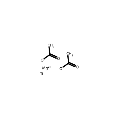 CC(=O)[O-].CC(=O)[O-].[Mg+2].[Ti]